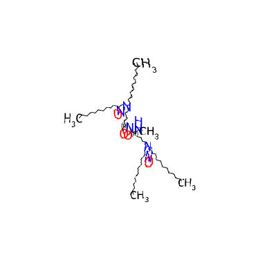 CCCCCCCCCCCCN(CCCC[C@H](C=O)NC(=O)[C@@H](CCCCN(CCCCCCCCCCCC)CC(CCCCCCCCCC)N=O)NC)CC(CCCCCCCCCC)N=O